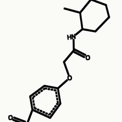 CC1CCCCC1NC(=O)COc1ccc(C=O)cc1